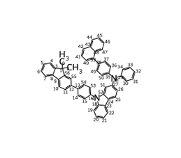 CC1(C)c2ccccc2-c2ccc(-c3ccc(-n4c5ccccc5c5ccc(N(c6ccccc6)c6ccc(-c7cccc8ccccc78)cc6)cc54)cc3)cc21